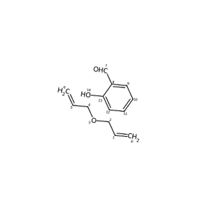 C=CCOCC=C.O=Cc1ccccc1O